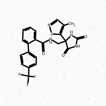 Cc1cnsc1C1(CNC(=O)c2ccccc2-c2ccc(C(F)(F)F)cc2)NC(=O)NC1=O